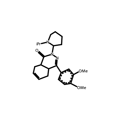 COc1ccc(C2=NN(C3CCCCN3C(C)C)C(=O)C3CC=CCC23)cc1OC